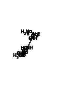 CN1C(=O)CCC(N2C(=O)c3cccc(OCC(O)NCCCCCCCCC(=O)Nc4ccc5c(-c6cccc(C(N)=S)c6)cn(C6CCC(F)(F)CC6)c5c4)c3C2=O)C1=O